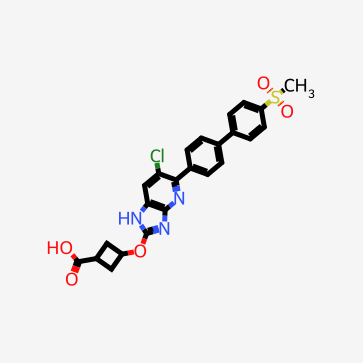 CS(=O)(=O)c1ccc(-c2ccc(-c3nc4nc(OC5CC(C(=O)O)C5)[nH]c4cc3Cl)cc2)cc1